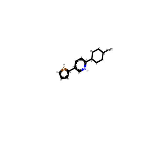 CCCC1CCC(c2ccc(-c3cccs3)cn2)CC1